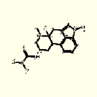 CCN(CC)C(=S)N[C@H]1CC2c3cccc4c3c(cn4CC)C[C@H]2N(C)C1